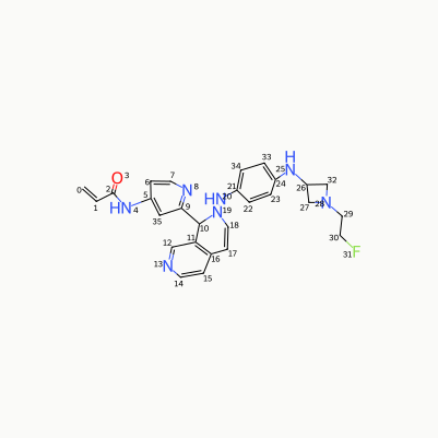 C=CC(=O)Nc1ccnc(C2c3cnccc3C=CN2Nc2ccc(NC3CN(CCF)C3)cc2)c1